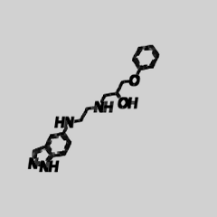 OC(CNCCNc1ccc2[nH]ncc2c1)COc1ccccc1